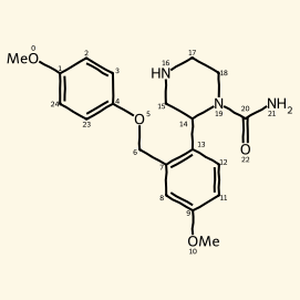 COc1ccc(OCc2cc(OC)ccc2C2CNCCN2C(N)=O)cc1